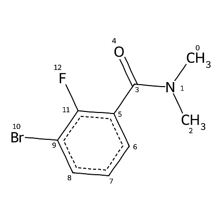 CN(C)C(=O)c1cccc(Br)c1F